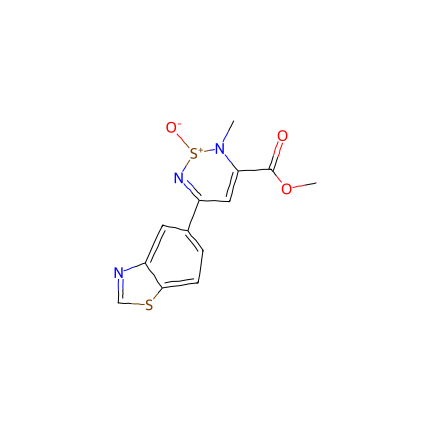 COC(=O)C1=CC(c2ccc3scnc3c2)=N[S+]([O-])N1C